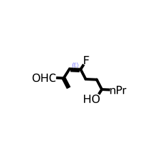 C=C(C=O)/C=C(/F)CCC(O)CCC